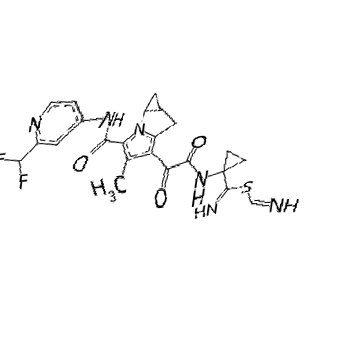 Cc1c(C(=O)C(=O)NC2(C(=N)SC=N)CC2)c2n(c1C(=O)Nc1ccnc(C(F)F)c1)C1CC1C2